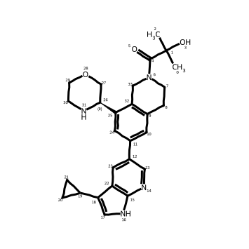 CC(C)(O)C(=O)N1CCc2cc(-c3cnc4[nH]cc(C5CC5)c4c3)cc([C@@H]3COCCN3)c2C1